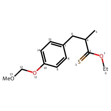 CCOC(=S)C(C)Cc1ccc(OCOC)cc1